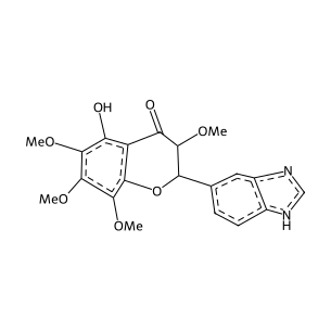 COc1c(O)c2c(c(OC)c1OC)OC(c1ccc3[nH]cnc3c1)C(OC)C2=O